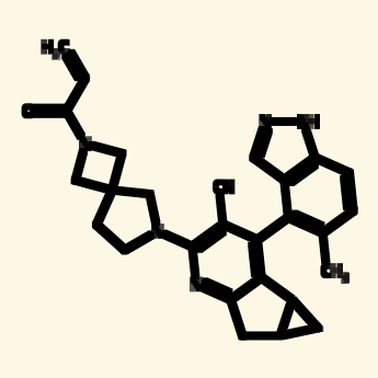 C=CC(=O)N1CC2(CCN(c3nc4c(c(-c5c(C)ccc6[nH]ncc56)c3C#N)C3CC3C4)C2)C1